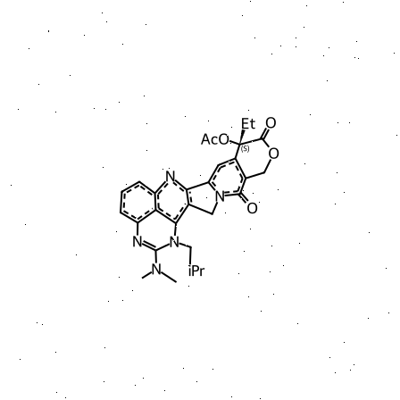 CC[C@@]1(OC(C)=O)C(=O)OCc2c1cc1n(c2=O)Cc2c-1nc1cccc3c1c2N(CC(C)C)C(N(C)C)=N3